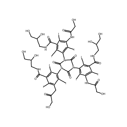 O=C(CO)Cc1c(I)c(C(=O)NCC(O)CO)c(I)c(-n2c(=O)n(-c3c(I)c(NC(=O)CO)c(I)c(C(=O)NCC(O)CO)c3I)c(=O)n(-c3c(I)c(NC(=O)CO)c(I)c(C(=O)NCC(O)CO)c3I)c2=O)c1I